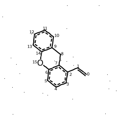 C=Cc1cccc2c1Cc1ccccc1O2